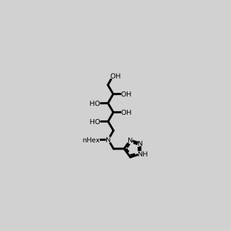 CCCCCCN(Cc1c[nH]nn1)CC(O)C(O)C(O)C(O)CO